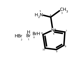 Br.Br.Br.CC(N)[n+]1ccccc1